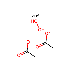 CC(=O)[O-].CC(=O)[O-].OO.[Zn+2]